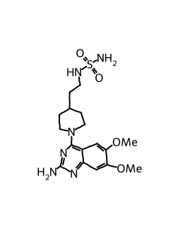 COc1cc2nc(N)nc(N3CCC(CCNS(N)(=O)=O)CC3)c2cc1OC